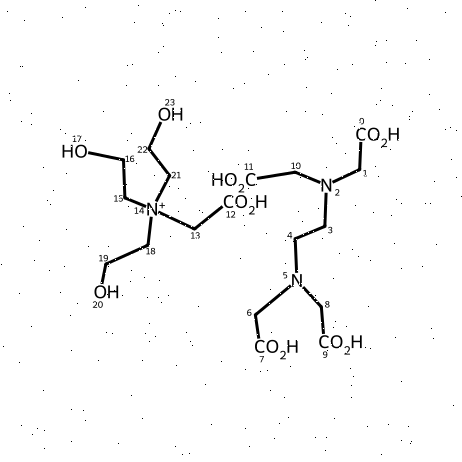 O=C(O)CN(CCN(CC(=O)O)CC(=O)O)CC(=O)O.O=C(O)C[N+](CCO)(CCO)CCO